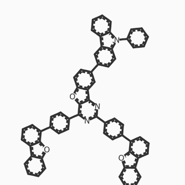 c1ccc(-n2c3ccccc3c3cc(-c4ccc5oc6c(-c7ccc(-c8cccc9c8oc8ccccc89)cc7)nc(-c7ccc(-c8cccc9c8oc8ccccc89)cc7)nc6c5c4)ccc32)cc1